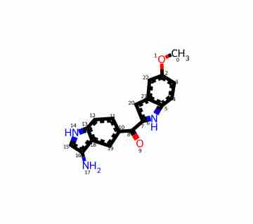 COc1ccc2[nH]c(C(=O)c3ccc4[nH]cc(N)c4c3)cc2c1